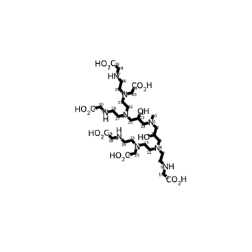 CN(CC(O)CN(CCNCC(=O)O)CCN(CCNCC(=O)O)CC(=O)O)CC(O)CN(CCNCC(=O)O)CCN(CCNCC(=O)O)CC(=O)O